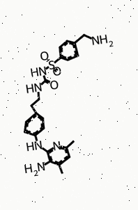 Cc1cc(C)c(N)c(Nc2ccc(CCNC(=O)NS(=O)(=O)c3ccc(CN)cc3)cc2)n1